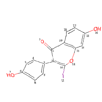 O=c1c(-c2ccc(O)cc2)c(I)oc2cc(O)ccc12